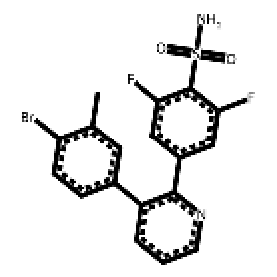 Cc1cc(-c2cccnc2-c2cc(F)c(S(N)(=O)=O)c(F)c2)ccc1Br